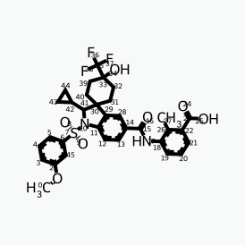 COc1cccc(S(=O)(=O)N2c3ccc(C(=O)Nc4cccc(C(=O)O)c4C)cc3C3(CCC(O)(C(F)(F)F)CC3)C2C2CC2)c1